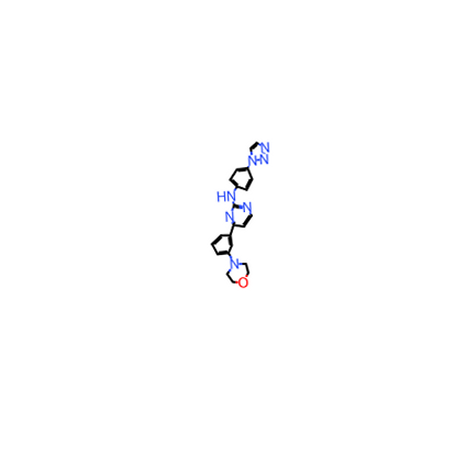 c1cc(-c2ccnc(Nc3ccc(-n4ccnn4)cc3)n2)cc(N2CCOCC2)c1